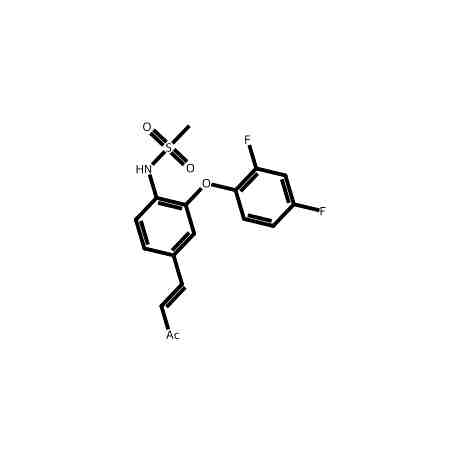 CC(=O)C=Cc1ccc(NS(C)(=O)=O)c(Oc2ccc(F)cc2F)c1